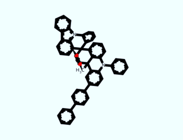 CC12c3cc(-c4ccc(-c5ccccc5)cc4)ccc3N(c3ccccc3)c3cccc(c31)C1(c3ccccc3-n3c4ccccc4c4cccc1c43)c1ccccc12